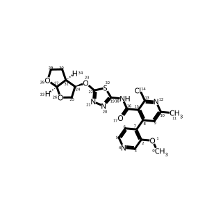 COc1cnccc1-c1cc(C)nc(Cl)c1C(=O)Nc1nnc(O[C@H]2CO[C@H]3OCC[C@H]32)s1